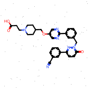 N#Cc1cccc(-c2ccc(=O)n(Cc3cccc(-c4ncc(OCC5CCN(CCC(=O)O)CC5)cn4)c3)n2)c1